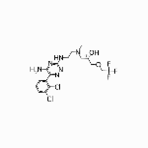 CN(CCNc1nnc(-c2cccc(Cl)c2Cl)c(N)n1)C[C@H](O)COCC(F)(F)F